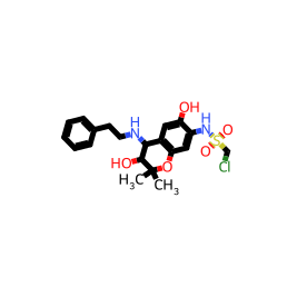 CC1(C)Oc2cc(NS(=O)(=O)CCl)c(O)cc2C(NCCc2ccccc2)C1O